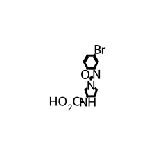 O=C(O)NC1CCN(c2nc3cc(Br)ccc3o2)C1